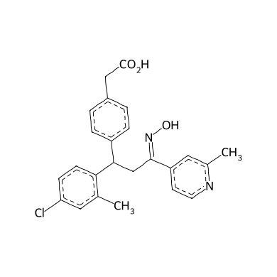 Cc1cc(C(CC(c2ccc(CC(=O)O)cc2)c2ccc(Cl)cc2C)=NO)ccn1